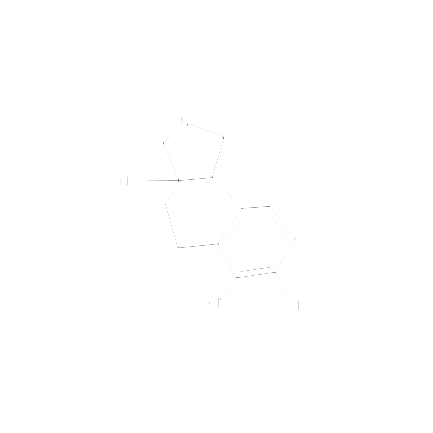 Cc1ccc2c(c1Cl)CCC1(C)CNCC21